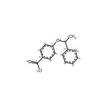 CC(Oc1ccc(C(=O)Cl)cc1)c1ccccn1